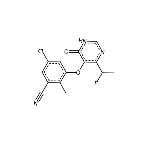 Cc1c(C#N)cc(Cl)cc1Oc1c(C(C)F)nc[nH]c1=O